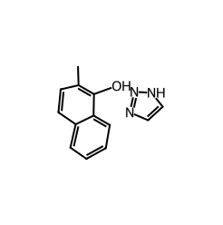 Cc1ccc2ccccc2c1O.c1c[nH]nn1